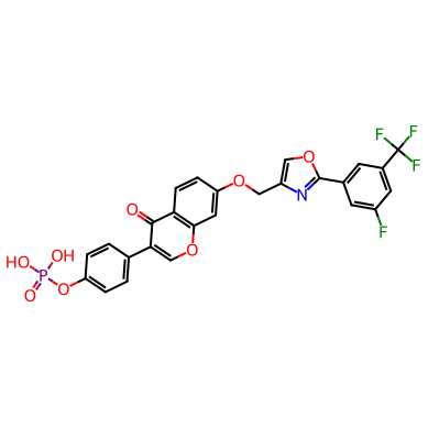 O=c1c(-c2ccc(OP(=O)(O)O)cc2)coc2cc(OCc3coc(-c4cc(F)cc(C(F)(F)F)c4)n3)ccc12